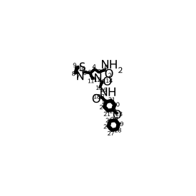 NC(=O)C1CC(c2nccs2)CN1C(=O)CNC(=O)c1ccc(Oc2ccccc2)cc1